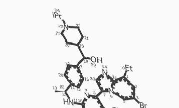 CCc1cc(Br)cn2c(-c3nc(N[C@@H](C)c4ccc(C(O)C5CCN(C(C)C)CC5)cc4)ncc3C#N)cnc12